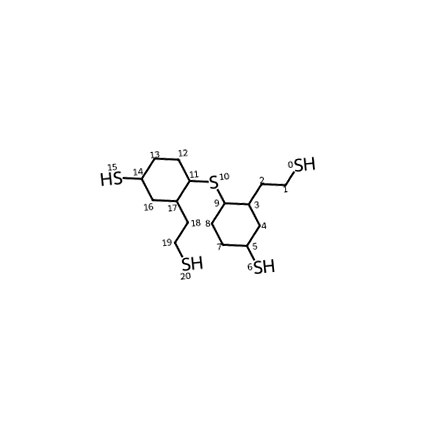 SCCC1CC(S)CCC1SC1CCC(S)CC1CCS